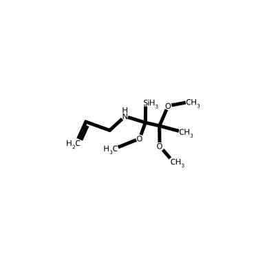 C=CCNC([SiH3])(OC)C(C)(OC)OC